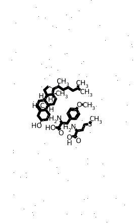 CC(C)CCC[C@@H](C)[C@H]1CC[C@H]2[C@@H]3CC=C4C[C@@H](O)CC[C@]4(C)[C@H]3CC[C@]12C.COc1ccc(CC(N)C(=O)O)cc1.CSCCC(N)C(=O)O